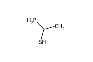 [CH2]C(P)S